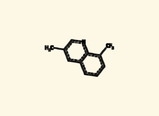 Cc1cnc2c(C(F)(F)F)cccc2c1